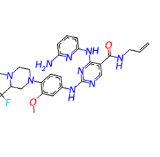 C=CCNC(=O)c1cnc(Nc2ccc(N3CCN(C)C(C(F)(F)F)C3)c(OC)c2)nc1Nc1cccc(N)n1